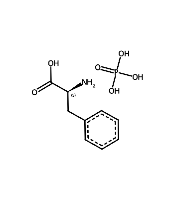 N[C@@H](Cc1ccccc1)C(=O)O.O=P(O)(O)O